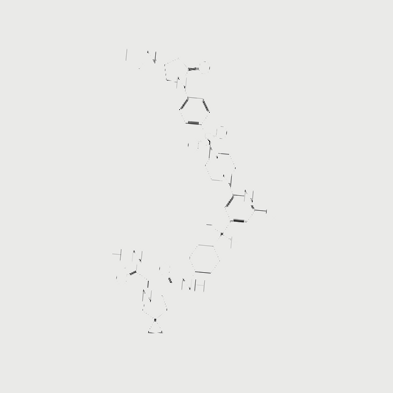 C[N@@+]1(CC(N)=O)CC2(CC2)C[C@H]1C(=O)N[C@H]1CC[C@H](C(F)(F)c2cc(Cl)nc(N3CCN(S(=O)(=O)c4ccc(N5C[C@H](N)CC5=O)cc4)CC3)c2)CC1